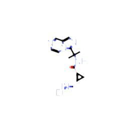 CCNC[C@H]1C[C@@H]1C(=O)NC(C)(C)c1ncc2cnccn12